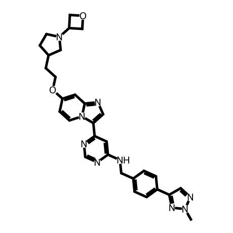 Cn1ncc(-c2ccc(CNc3cc(-c4cnc5cc(OCCC6CCN(C7COC7)C6)ccn45)ncn3)cc2)n1